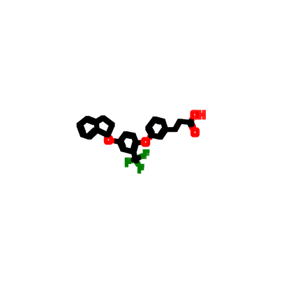 O=C(O)CCc1cccc(Oc2ccc(OC3CCc4ccccc43)cc2C(F)(F)F)c1